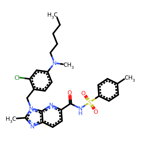 CCCCCN(C)c1ccc(Cn2c(C)nc3ccc(C(=O)NS(=O)(=O)c4ccc(C)cc4)nc32)c(Cl)c1